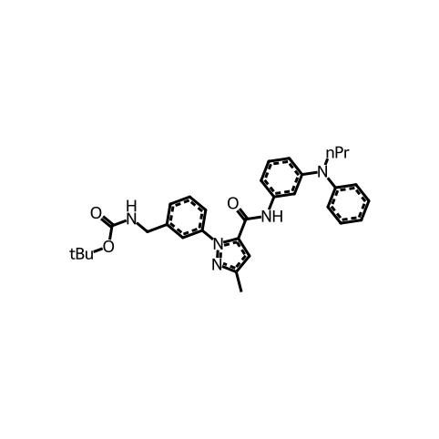 CCCN(c1ccccc1)c1cccc(NC(=O)c2cc(C)nn2-c2cccc(CNC(=O)OC(C)(C)C)c2)c1